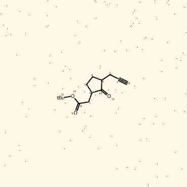 C#CCC1CCC(CC(=O)OC(C)(C)C)C1=O